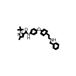 Cc1cc(C(=O)Nc2ccc(Oc3ccc(CCNCc4ccccc4)cc3)cc2)n(C(C)(C)C)n1